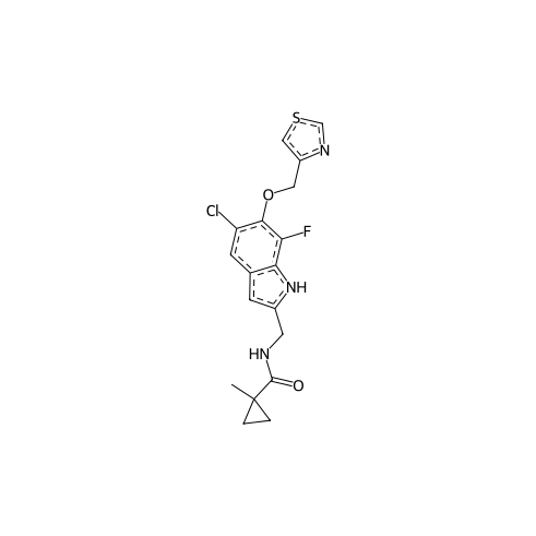 CC1(C(=O)NCc2cc3cc(Cl)c(OCc4cscn4)c(F)c3[nH]2)CC1